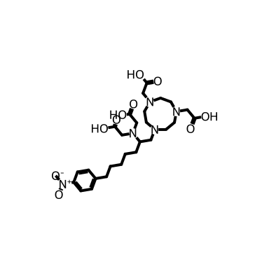 O=C(O)CN1CCN(CC(=O)O)CCN(CC(CCCCCc2ccc([N+](=O)[O-])cc2)N(CC(=O)O)CC(=O)O)CC1